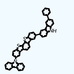 c1ccc(-c2ccc3[nH]c4ccc(-c5ccc6sc7c(ccc8c9cc(-n%10c%11ccccc%11c%11ccccc%11%10)ccc9sc87)c6c5)cc4c3c2)cc1